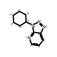 c1cnc2c(c1)nnn2C1CCCCC1